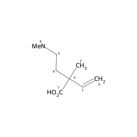 C=CC(C)(CCNC)C(=O)O